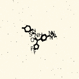 CC1CCc2nc(NC(=O)C(c3ccc(-c4nnn(C)n4)cc3)C3CCC(F)(F)C3)sc2C1